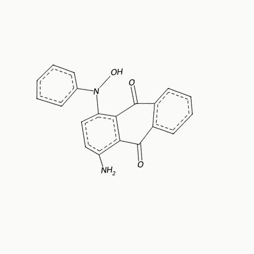 Nc1ccc(N(O)c2ccccc2)c2c1C(=O)c1ccccc1C2=O